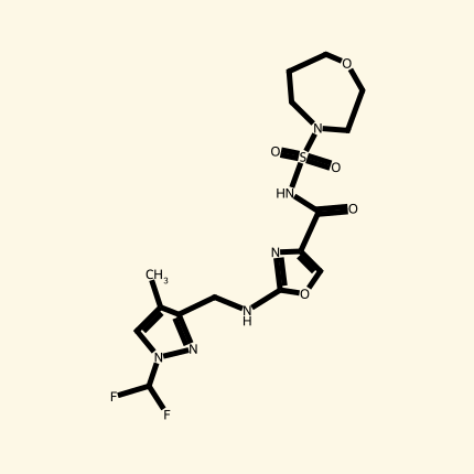 Cc1cn(C(F)F)nc1CNc1nc(C(=O)NS(=O)(=O)N2CCCOCC2)co1